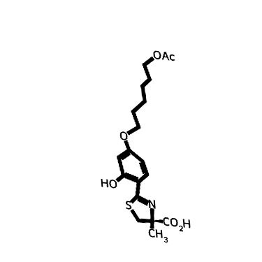 CC(=O)OCCCCCCOc1ccc(C2=N[C@@](C)(C(=O)O)CS2)c(O)c1